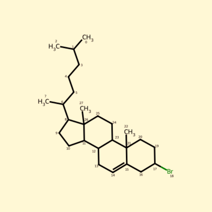 CC(C)CCCC(C)C1CCC2C3CC=C4CC(Br)CCC4(C)C3CCC12C